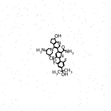 CC(C)(O)c1cc(F)c(-c2nc(C(N)=O)c(-c3cnc4c(c3N3C[C@@H](N)C[C@@H](C(F)(F)F)C3)CCC4O)cc2F)c(F)c1